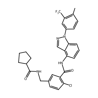 Cc1ccc(-n2ncc3c(NC(=O)c4cc(CNC(=O)C5CCCC5)ccc4Cl)cccc32)cc1C(F)(F)F